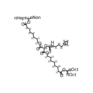 CCCCCCCCCC(CCCCCCC)OC(=O)CCCCCCCOC(=O)C(OC(=S)NCCCN1CCC1)C(=O)OCCCCCCCC(=O)OC(CCCCCCCC)CCCCCCCC